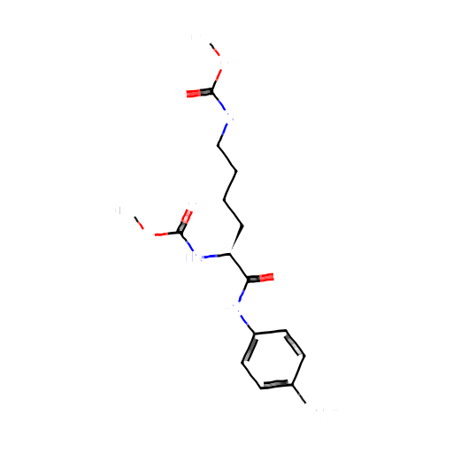 CC(C)(C)OC(=O)NCCCC[C@H](NC(=O)OC(C)(C)C)C(=O)Nc1ccc(C(=O)O)cc1